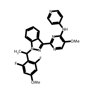 COc1cc(F)c(C(C)n2nc(-c3ncc(OC)c(Nc4ccncc4)n3)c3ccccc32)c(F)c1